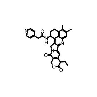 CCC1C(=O)OCc2c1cc1n(c2=O)Cc2c-1nc1cc(F)c(C)c3c1c2C(NC(=O)Cc1ccncc1)CC3